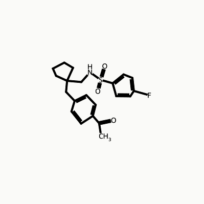 CC(=O)c1ccc(CC2(CNS(=O)(=O)c3ccc(F)cc3)CCCC2)cc1